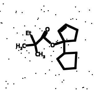 CCC(C)(C)C(=O)OC1(C2CCCC2)C=CCC1